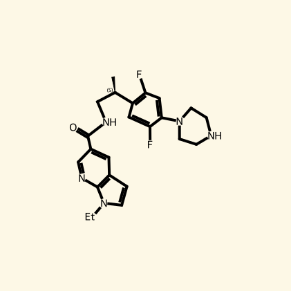 CCn1ccc2cc(C(=O)NC[C@@H](C)c3cc(F)c(N4CCNCC4)cc3F)cnc21